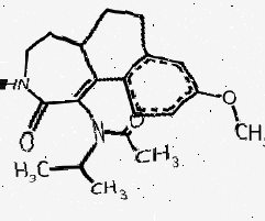 COc1ccc2c(c1)CCC1CCNC(=O)C(N(C(C)=O)C(C)C)=C21